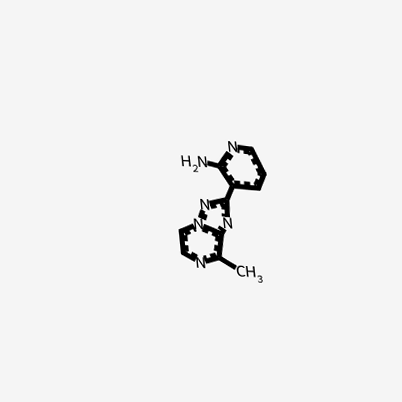 Cc1nccn2nc(-c3cccnc3N)nc12